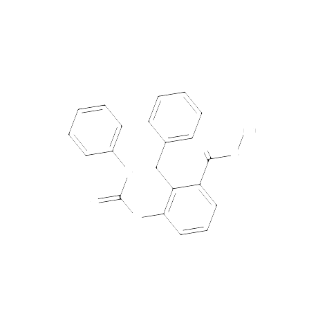 CCCOC(=O)c1cccc(OC(=O)Oc2ccccc2)c1Cc1ccccc1